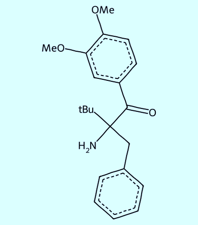 COc1ccc(C(=O)C(N)(Cc2ccccc2)C(C)(C)C)cc1OC